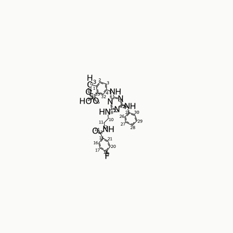 Cc1ccc(Nc2nc(NCCNC(=O)c3ccc(F)cc3)nc(Nc3ccccc3)n2)cc1S(=O)(=O)O